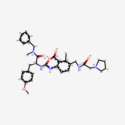 COc1ccc(C[C@H](Nc2nc3ccc(CNC(=O)CN4CCCC4)c(C)c3c(=O)o2)C(=O)N(C)Cc2ccccc2)cc1